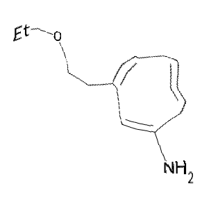 CCOCc1cccc(N)c1